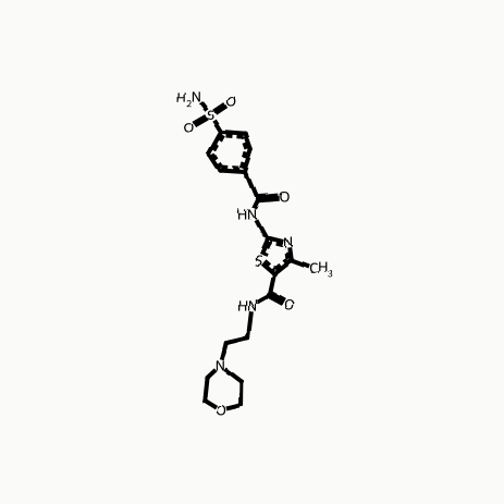 Cc1nc(NC(=O)c2ccc(S(N)(=O)=O)cc2)sc1C(=O)NCCN1CCOCC1